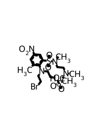 Cc1cc([N+](=O)[O-])cc(S(=O)(=O)N(C)CCN(C)C)c1N(CCBr)CCOS(C)(=O)=O